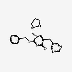 O=c1nc(SCc2ccccc2)n(C[C@@H]2CCCO2)cc1Cc1cncnc1